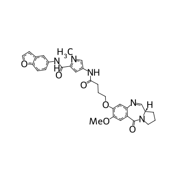 COc1cc2c(cc1OCCCC(=O)Nc1cc(C(=O)Nc3ccc4occc4c3)n(C)c1)N=C[C@@H]1CCCN1C2=O